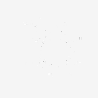 C=Cc1c(C)c2cc3nc(c4c5[nH]c(cc6nc(cc1[nH]2)C(C)=C6CC)c(C)c5C(=O)OC4)[C@@H](CCC(=O)OC)[C@@H]3C